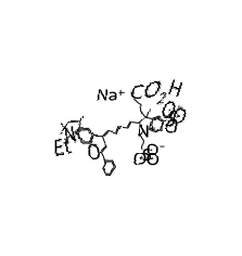 CCN1c2cc3c(cc2C(C)=CC1(C)C)C(=CC=CC=CC1=[N+](CCCS(=O)(=O)[O-])c2ccc(S(=O)(=O)[O-])cc2C1(C)CCCC(=O)O)C=C(c1ccccc1)O3.[Na+]